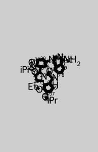 CCOc1cc(C(Nc2ccc3c(N)nccc3c2)C(=O)N2CCCC2c2cc(NC(C)=O)ccc2S(=O)(=O)C(C)C)ccc1OC(C)C